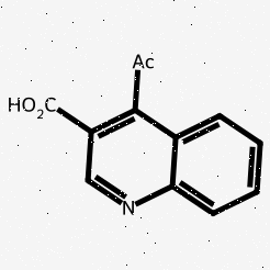 CC(=O)c1c(C(=O)O)cnc2ccccc12